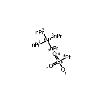 CCC[N+](CCC)(CCC)CCC.CCS(=O)(=O)[O-]